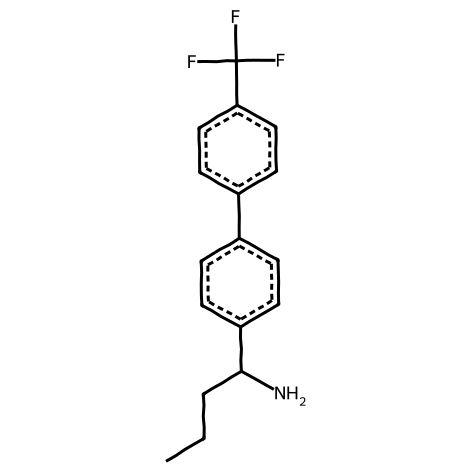 CCCC(N)c1ccc(-c2ccc(C(F)(F)F)cc2)cc1